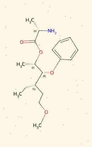 CC[C@@H](CCOC)[C@@H](Oc1ccccc1)[C@H](C)OC(=O)[C@H](C)N